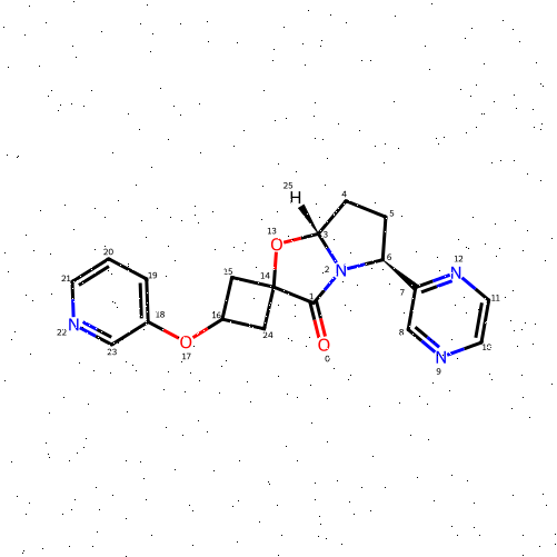 O=C1N2[C@@H](CC[C@H]2c2cnccn2)OC12CC(Oc1cccnc1)C2